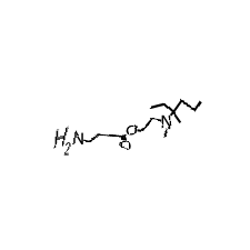 CCCC(C)(CC)N(C)CCOC(=O)CCN